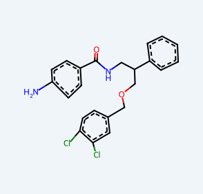 Nc1ccc(C(=O)NCC(COCc2ccc(Cl)c(Cl)c2)c2ccccc2)cc1